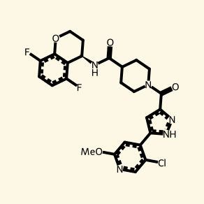 COc1cc(-c2cc(C(=O)N3CCC(C(=O)N[C@@H]4CCOc5c(F)ccc(F)c54)CC3)n[nH]2)c(Cl)cn1